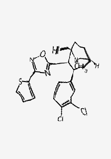 CN1[C@@H]2CC[C@H]1[C@H](c1nc(-c3cccs3)no1)[C@H](c1ccc(Cl)c(Cl)c1)C2